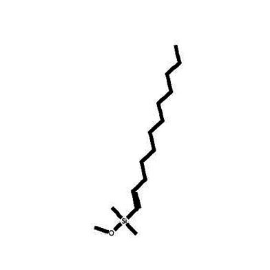 CCCCCCCCCCC=C[Si](C)(C)OC